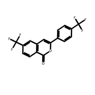 O=c1oc(-c2ccc(C(F)(F)F)cc2)cc2cc(C(F)(F)F)ccc12